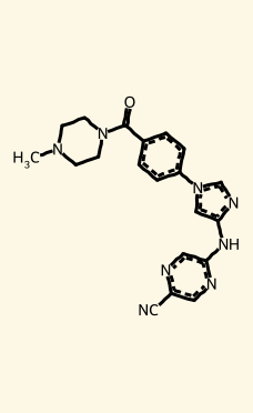 CN1CCN(C(=O)c2ccc(-n3cnc(Nc4cnc(C#N)cn4)c3)cc2)CC1